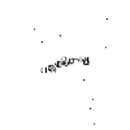 O=C(Oc1ccc(CCOc2ccccn2)cc1)N1CCN(c2ccc(Cl)cn2)CC1